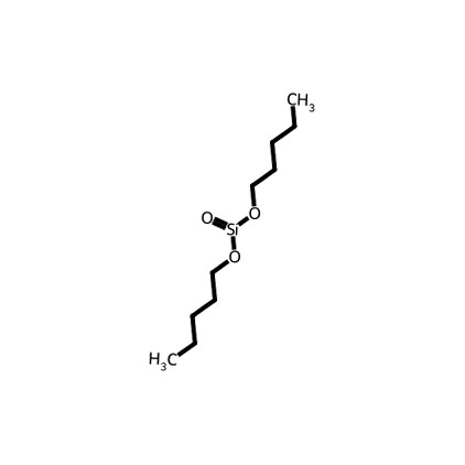 CCCCCO[Si](=O)OCCCCC